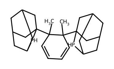 CC1(C23CC4CC(CC(C4)P2)C3)C=CC=CC1(C)C12CC3CC(CC(C3)P1)C2